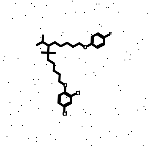 C[C](C)C(CCCCCOc1ccc(F)cc1)C(C)(C)CCCCCOc1ccc(Cl)cc1Cl